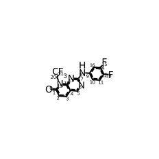 O=c1ccc2cnc(Nc3ccc(F)c(F)c3)nc2n1CC(F)(F)F